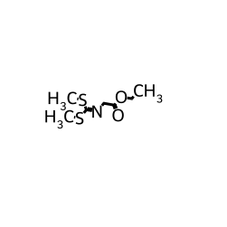 CCOC(=O)CN=C(SC)SC